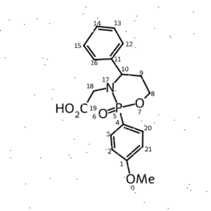 COc1ccc(P2(=O)OCCC(c3ccccc3)N2CC(=O)O)cc1